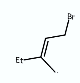 [CH2]C(=CCBr)CC